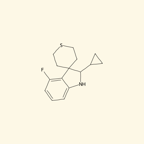 Fc1cccc2c1C1(CCSCC1)C(C1CC1)N2